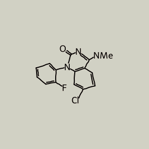 CNc1nc(=O)n(-c2ccccc2F)c2cc(Cl)ccc12